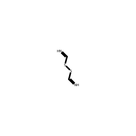 N=CSSC=N